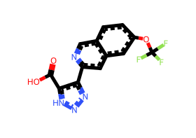 O=C(O)c1[nH]nnc1-c1cc2cc(OC(F)(F)F)ccc2cn1